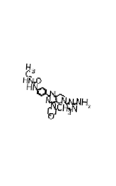 CCNC(=O)Nc1ccc(-c2nc3c(c(N4CCOCC4C)n2)CN(c2ccnc(N)n2)CC3)cc1